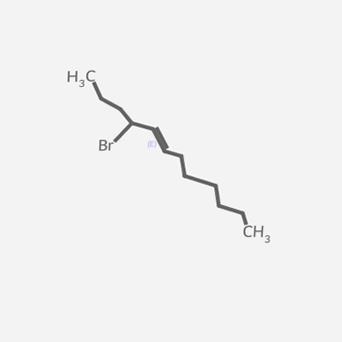 CCCCCC/C=C/C(Br)CCC